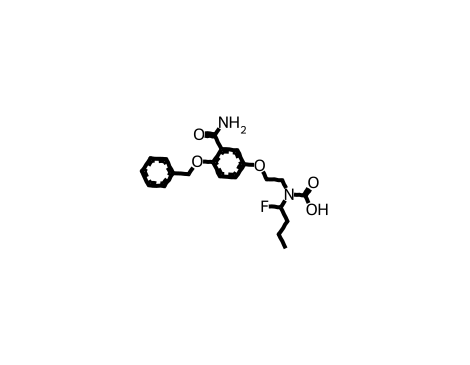 CCCC(F)N(CCOc1ccc(OCc2ccccc2)c(C(N)=O)c1)C(=O)O